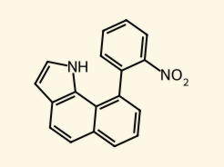 O=[N+]([O-])c1ccccc1-c1cccc2ccc3cc[nH]c3c12